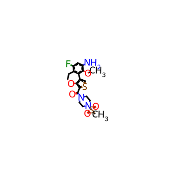 COc1c(N)cc(F)c2c1-c1csc(C(=O)N3CCN(S(C)(=O)=O)CC3)c1OCC2